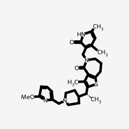 COc1cccc(CN2CCC([C@@H](C)c3sc4c(c3C)C(=O)N(Cc3c(C)cc(C)[nH]c3=O)CCC4)CC2)n1